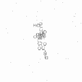 COCCOCc1cc(OC)c(-c2ccc(C[C@H](NC(=O)[C@@H]3CCCN3S(=O)(=O)c3ccc(C(=O)O)cc3)C(=O)O)cc2)c(OC)c1